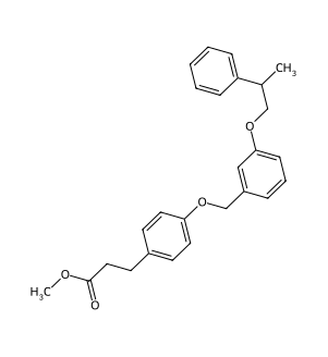 COC(=O)CCc1ccc(OCc2cccc(OCC(C)c3ccccc3)c2)cc1